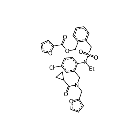 CCN(c1ccc(Cl)cc1CN(Cc1ccco1)C(=O)C1CC1)S(=O)(=O)Cc1ccccc1COC(=O)c1ccco1